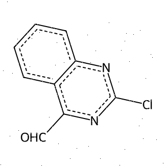 O=Cc1nc(Cl)nc2ccccc12